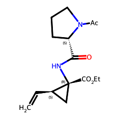 C=C[C@@H]1C[C@]1(NC(=O)[C@@H]1CCCN1C(C)=O)C(=O)OCC